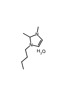 CCCCN1C=CN(C)C1C.O